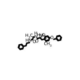 Cc1cc(OCc2ccccc2)cc(C)c1CC(N)C(=O)N[C@H](C)C(=O)NCCCc1ccccc1